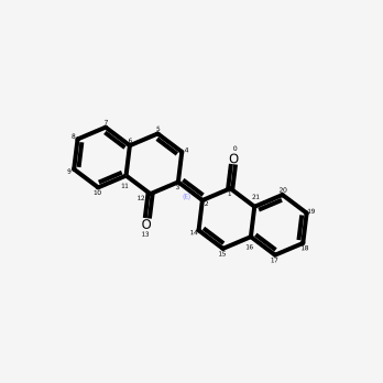 O=C1/C(=C2\C=Cc3ccccc3C2=O)C=Cc2ccccc21